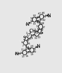 CC1Cc2sc3ccc(-n4c5cc(C#N)ccc5c5ccc(C#N)cc54)cc3c2C=C1c1ccc2sc3ccc(-n4c5cc(C#N)ccc5c5ccc(C#N)cc54)cc3c2c1